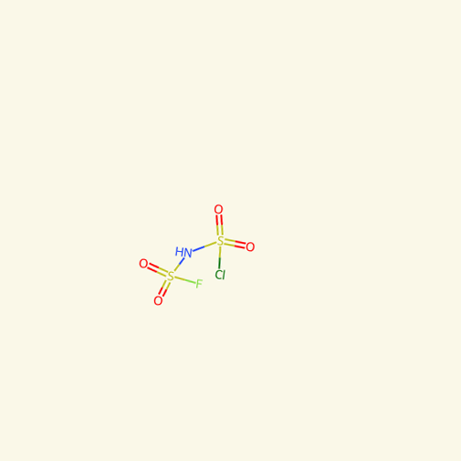 O=S(=O)(F)NS(=O)(=O)Cl